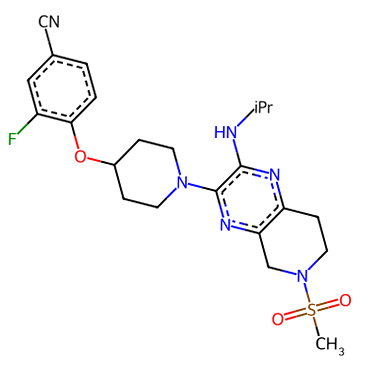 CC(C)Nc1nc2c(nc1N1CCC(Oc3ccc(C#N)cc3F)CC1)CN(S(C)(=O)=O)CC2